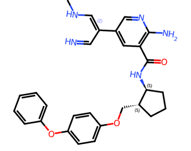 CN/C=C(\C=N)c1cnc(N)c(C(=O)N[C@H]2CCC[C@@H]2COc2ccc(Oc3ccccc3)cc2)c1